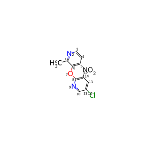 Cc1ncccc1Oc1ncc(Cl)cc1[N+](=O)[O-]